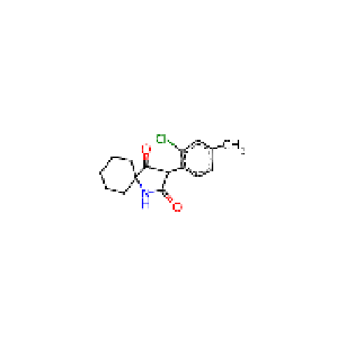 Cc1ccc(C2C(=O)NC3(CCCCC3)C2=O)c(Cl)c1